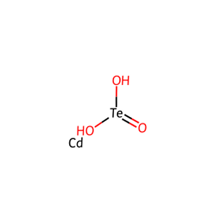 O=[Te](O)O.[Cd]